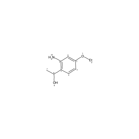 CCOc1ccc(C(C)O)c(N)c1